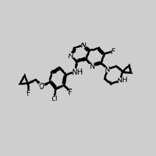 Fc1cc2ncnc(Nc3ccc(OCC4(F)CC4)c(Cl)c3F)c2nc1N1CCNC2(CC2)C1